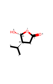 CC(C)[C@H]1CC(=O)O[C@H]1O